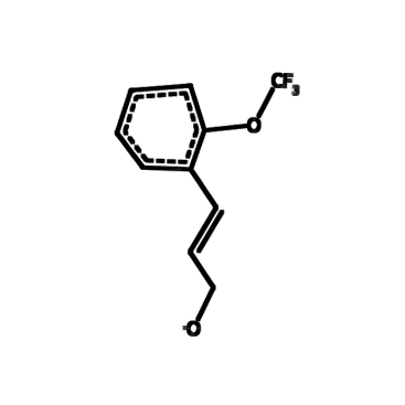 [O]CC=Cc1ccccc1OC(F)(F)F